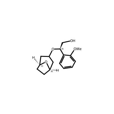 COc1ccccc1[C@H](CO)OC1C[C@H]2CC[C@@H](C1)O2